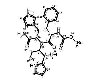 CC(C)CC([C@H](O)c1ncc[nH]1)N(C(=O)[C@H](Cc1ccccc1)NC(=O)OC(C)(C)C)[C@@H](Cc1c[nH]cn1)C(N)=O